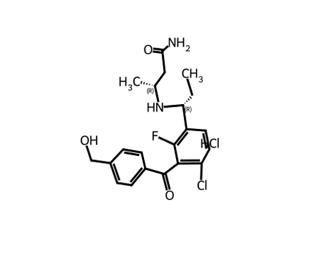 CC[C@@H](N[C@H](C)CC(N)=O)c1ccc(Cl)c(C(=O)c2ccc(CO)cc2)c1F.Cl